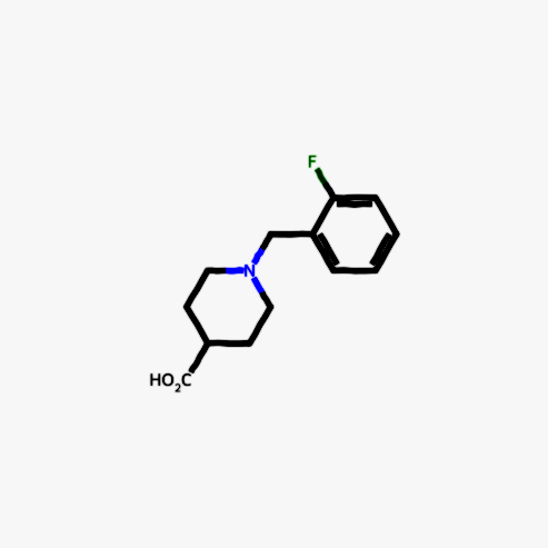 O=C(O)C1CCN(Cc2ccccc2F)CC1